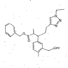 CCn1cc(CCC(c2ccc(C)c(CO)c2)C(C)C(=O)OCc2ccccc2)nn1